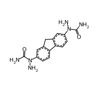 NC(=O)N(N)c1ccc2c(c1)Cc1cc(N(N)C(N)=O)ccc1-2